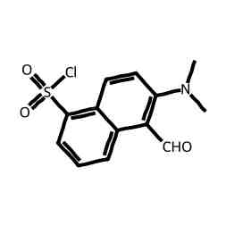 CN(C)c1ccc2c(S(=O)(=O)Cl)cccc2c1C=O